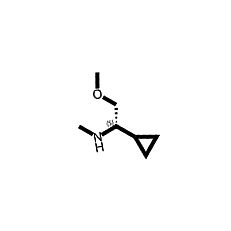 CN[C@H](COC)C1CC1